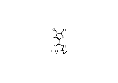 Cc1c(C(=S)NC2(C(=O)O)CC2)sc(Cl)c1Cl